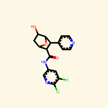 O=C(Nc1cnc(Cl)c(Cl)c1)C1C2CC(O)C(O2)C1c1ccncc1